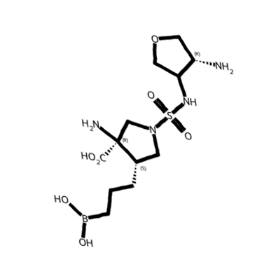 N[C@H]1COCC1NS(=O)(=O)N1C[C@H](CCCB(O)O)[C@](N)(C(=O)O)C1